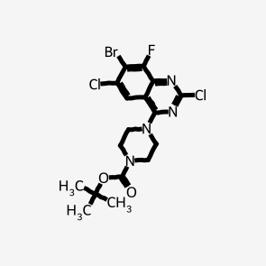 CC(C)(C)OC(=O)N1CCN(c2nc(Cl)nc3c(F)c(Br)c(Cl)cc23)CC1